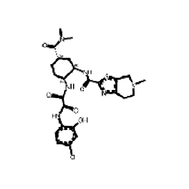 CN1CCc2nc(C(=O)N[C@@H]3C[C@@H](C(=O)N(C)C)CC[C@@H]3NC(=O)C(=O)Nc3ccc(Cl)cc3O)sc2C1